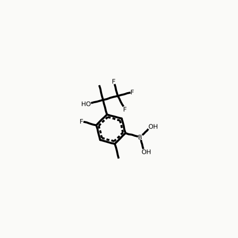 Cc1cc(F)c(C(C)(O)C(F)(F)F)cc1B(O)O